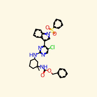 C[C@@]1(NC(=O)OCc2ccccc2)CCCC(Nc2ncc(Cl)c(-c3cn(S(=O)(=O)c4ccccc4)c4ccccc34)n2)C1